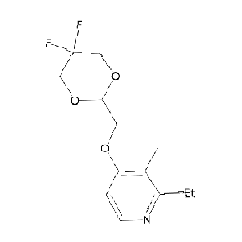 CCc1nccc(OCC2OCC(F)(F)CO2)c1C